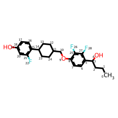 CCCC(O)c1ccc(OCC2CCC(c3ccc(O)cc3F)CC2)c(F)c1F